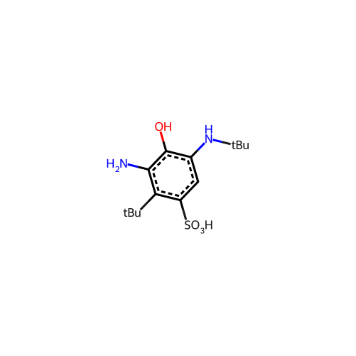 CC(C)(C)Nc1cc(S(=O)(=O)O)c(C(C)(C)C)c(N)c1O